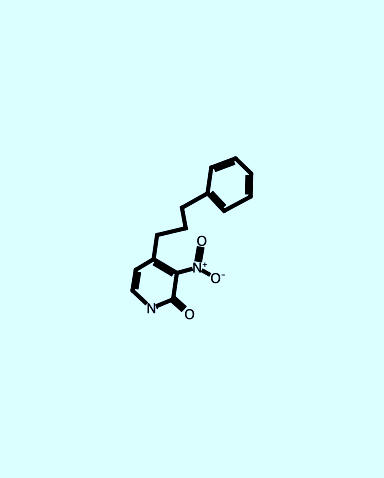 O=C1[N]C=CC(CCCc2ccccc2)=C1[N+](=O)[O-]